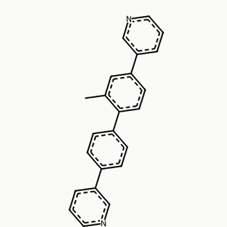 Cc1cc(-c2cccnc2)ccc1-c1ccc(-c2cccnc2)cc1